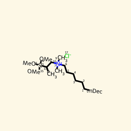 CCCCCCCCCCCCCCCC[N+](C)(C)CC(C)[Si](OC)(OC)OC.[Cl-]